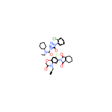 C#CCN1C(=O)COc2cc(F)c(N3C(=O)C4=C(CCCC4)C3=O)cc21.CCN(C(=O)n1nnn(-c2ccccc2Cl)c1=O)C1CCCCC1